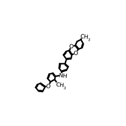 CC1C=CC2=C(C1)Oc1ccc(-c3ccc(NC4=CC=CC(Oc5ccccc5)C4C)cc3)cc1O2